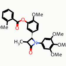 COc1ccc([C@H]2C(C)C(=O)N2c2cc(OC)c(OC)c(OC)c2)cc1OC(=O)c1ccccc1OC